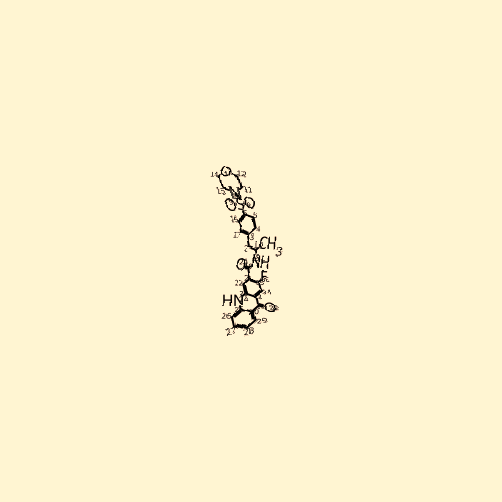 CC(Cc1ccc(S(=O)(=O)N2CCOCC2)cc1)NC(=O)c1cc2[nH]c3ccccc3c(=O)c2cc1F